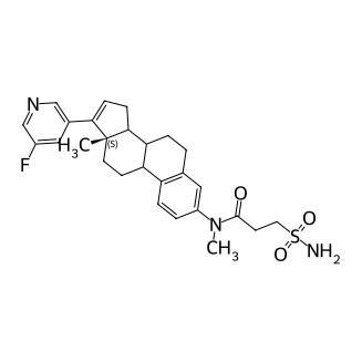 CN(C(=O)CCS(N)(=O)=O)c1ccc2c(c1)CCC1C2CC[C@]2(C)C(c3cncc(F)c3)=CCC12